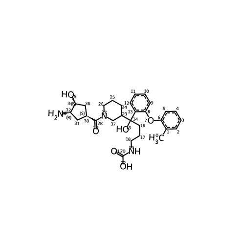 Cc1ccccc1Oc1ccccc1C(O)(CCCNC(=O)O)C1CCCN(C(=O)[C@H]2C[C@@H](N)[C@@H](O)C2)C1